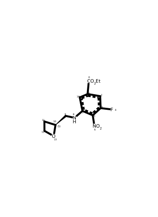 CCOC(=O)c1cc(F)c([N+](=O)[O-])c(NC[C@@H]2CCO2)c1